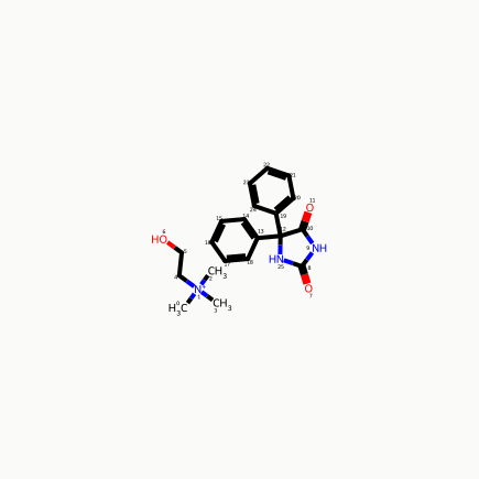 C[N+](C)(C)CCO.O=C1NC(=O)C(c2ccccc2)(c2ccccc2)N1